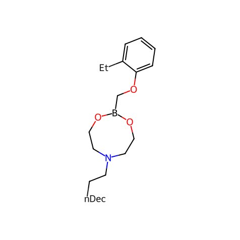 CCCCCCCCCCCCN1CCOB(COc2ccccc2CC)OCC1